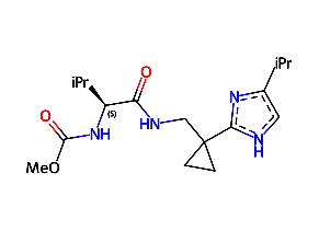 COC(=O)N[C@H](C(=O)NCC1(c2nc(C(C)C)c[nH]2)CC1)C(C)C